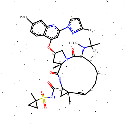 CC[C@@H]1C[C@H](C)CCC=C[C@@H]2C[C@@]2(C(=O)NS(=O)(=O)C2(C)CC2)NC(=O)[C@@H]2C[C@@H](Oc3cc(-n4ccc(C(F)(F)F)n4)nc4cc(OC)ccc34)CN2C(=O)[C@H]1N(C(=O)O)C(C)(C)C(F)(F)F